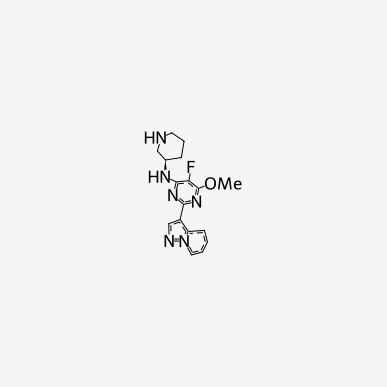 COc1nc(-c2cnn3ccccc23)nc(N[C@@H]2CCCNC2)c1F